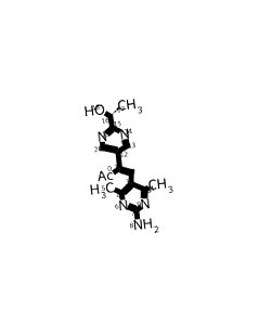 CC(=O)/C(=C\c1c(C)nc(N)nc1C)c1cnc([C@@H](C)O)nc1